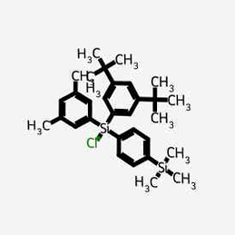 Cc1cc(C)cc([Si](Cl)(c2ccc([Si](C)(C)C)cc2)c2cc(C(C)(C)C)cc(C(C)(C)C)c2)c1